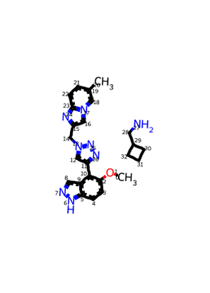 COc1ccc2[nH]ncc2c1-c1cn(Cc2cn3cc(C)ccc3n2)nn1.NCC1CCC1